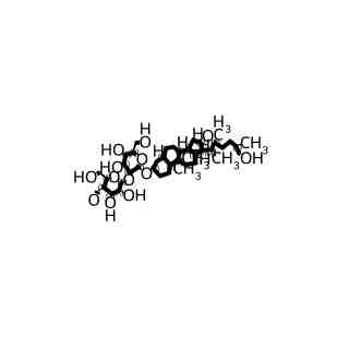 C[C@H](CO)CC[C@@]1(C)O[C@H]2CC3[C@@H]4CC[C@@H]5C[C@@H](O[C@@H]6O[C@H](CO)[C@@H](O)[C@H](O)[C@H]6O[C@@H]6O[C@H](CO)[C@@H](C=O)[C@H](O)[C@H]6O)CC[C@]5(C)[C@@]4(C)CC[C@]3(C)[C@H]2[C@@H]1C